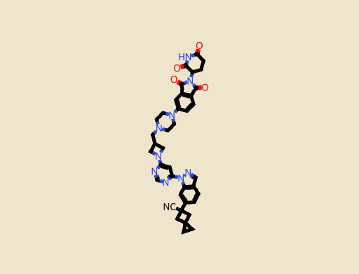 N#CC1(c2ccc3cnn(-c4cc(N5CC(CN6CCN(c7ccc8c(c7)C(=O)N(C7CCC(=O)NC7=O)C8=O)CC6)C5)ncn4)c3c2)CC2(CC2)C1